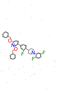 Fc1ccc(F)c(N2CCC(c3ccc(-c4ccc(OCc5ccccc5)nc4OCc4ccccc4)cc3F)CC2)c1